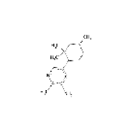 Cc1ncc(C2CCN(C)CC2(C)C)cc1N